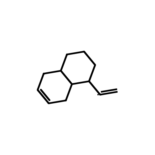 C=[C]C1CCCC2CC=CCC12